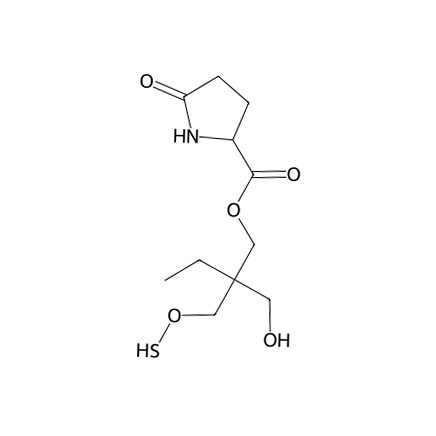 CCC(CO)(COS)COC(=O)C1CCC(=O)N1